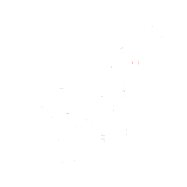 c1cccc(-c2ccc(-c3cccc4c3oc3ccccc34)cc2-c2oc(-c3ccccc3-c3ccccc3)c3c2CCC=C3)c#1